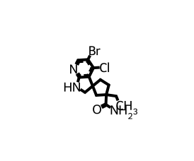 CCC1(C(N)=O)CCC2(CNc3ncc(Br)c(Cl)c32)C1